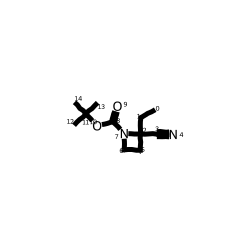 CCC1(C#N)[CH]CN1C(=O)OC(C)(C)C